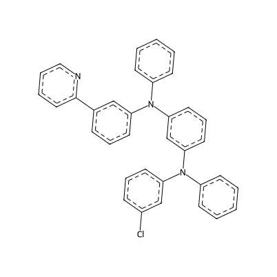 Clc1cccc(N(c2ccccc2)c2cccc(N(c3ccccc3)c3cccc(-c4ccccn4)c3)c2)c1